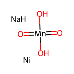 [NaH].[Ni].[O]=[Mn](=[O])([OH])[OH]